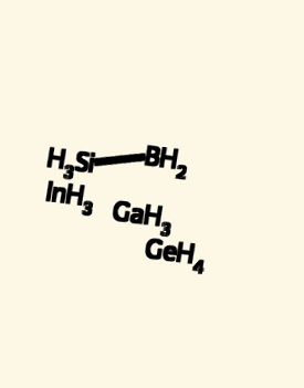 B[SiH3].[GaH3].[GeH4].[InH3]